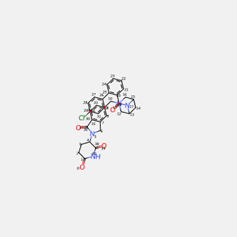 O=C1CCC(N2Cc3cc(CN4CC5CC(C4)N5C(=O)c4ccccc4-c4ccc(Cl)cc4)ccc3C2=O)C(=O)N1